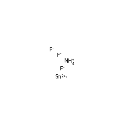 [F-].[F-].[F-].[NH4+].[Sn+2]